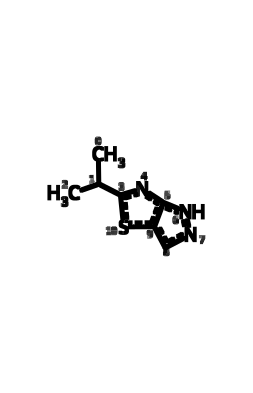 CC(C)c1nc2[nH]ncc2s1